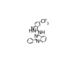 FC(F)(F)c1ccc2n[nH]c(Nc3nc(-c4ccccc4)nc4ccccc34)c2c1